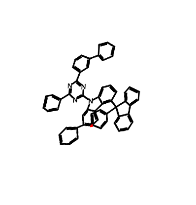 c1ccc(-c2cccc(-c3nc(-c4ccccc4)nc(-n4c5cc(-c6ccccc6)ccc5c5c(C6(c7ccccc7)c7ccccc7-c7ccccc76)cccc54)n3)c2)cc1